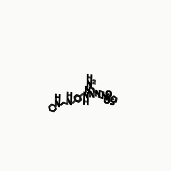 Nc1cc(N2CCN(S(=O)(=O)C3CC=CS3)CC2)nc(NCc2ccc(CNCCCNC3CCCCC3)cc2)n1